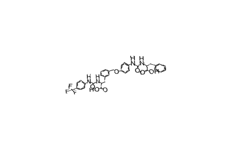 O=C(Nc1ccc(OCc2cccc(CC(NC(=O)Nc3ccc(C(F)(F)F)cc3)C(=O)O)c2)cc1)NC(Cc1ccccc1)C(=O)O